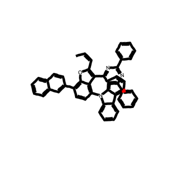 C/C=C\c1oc2c(-c3ccc4ccccc4c3)ccc(-n3c4ccccc4c4ccccc43)c2c1-c1nc(-c2ccccc2)nc(-c2ccccc2)n1